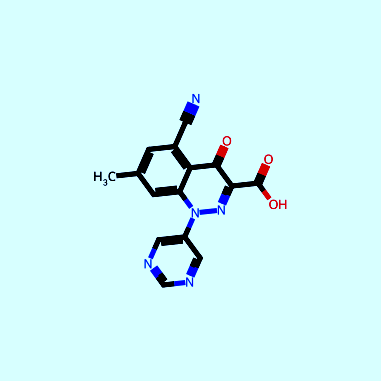 Cc1cc(C#N)c2c(=O)c(C(=O)O)nn(-c3cncnc3)c2c1